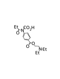 CCC(=O)N(C(=O)O)c1ccc(C(=O)OCCN(CC)CC)cc1